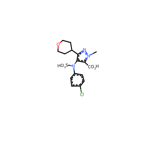 Cn1nc(C2CCOCC2)c(N(c2ccc(Cl)cc2)S(=O)(=O)O)c1C(=O)O